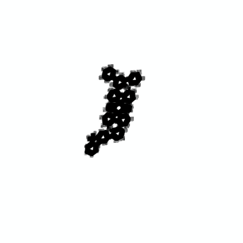 CC1(C)c2ccccc2-c2cc3c4ccccc4n(-c4cccc5c4-c4ccccc4C54c5ccccc5C5(c6ccccc6-c6c(-n7c8ccccc8c8cc(-c9ccccc9)ccc87)cccc65)c5ccccc54)c3cc21